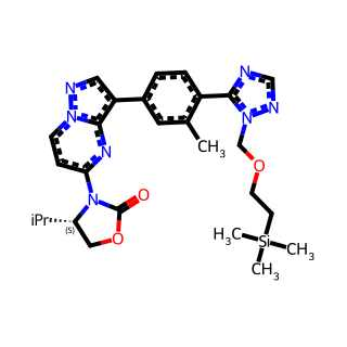 Cc1cc(-c2cnn3ccc(N4C(=O)OC[C@@H]4C(C)C)nc23)ccc1-c1ncnn1COCC[Si](C)(C)C